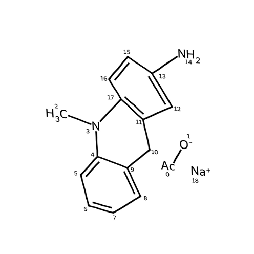 CC(=O)[O-].CN1c2ccccc2Cc2cc(N)ccc21.[Na+]